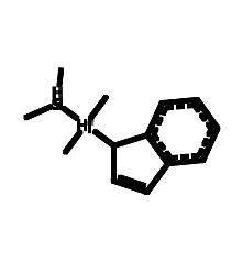 C[SiH](C)[Hf]([CH3])([CH3])[CH]1C=Cc2ccccc21